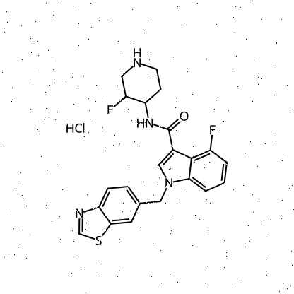 Cl.O=C(NC1CCNCC1F)c1cn(Cc2ccc3ncsc3c2)c2cccc(F)c12